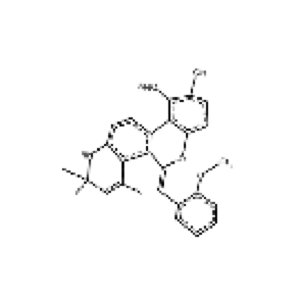 COc1c(O)ccc2c1-c1ccc3c(c1/C(=C/c1ccccc1OC(F)(F)F)O2)C(C)=CC(C)(C)N3